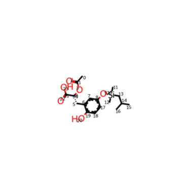 CC(=O)O[C@H](Cc1cc(O[Si](C)(C)CC(C)C)ccc1O)C(=O)O